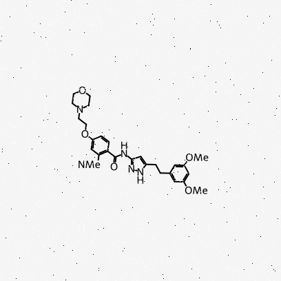 CNc1cc(OCCN2CCOCC2)ccc1C(=O)Nc1cc(CCc2cc(OC)cc(OC)c2)[nH]n1